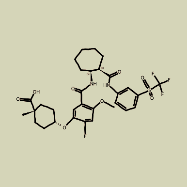 COc1cc(F)c(O[C@H]2CC[C@@](C)(C(=O)O)CC2)cc1C(=O)N[C@H]1CCCCC[C@H]1C(=O)Nc1cccc(S(=O)(=O)C(F)(F)F)c1